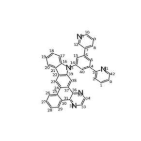 c1ccc(-c2cc(-c3cccnc3)cc(-n3c4ccccc4c4cc5c6ccccc6c6nccnc6c5cc43)c2)nc1